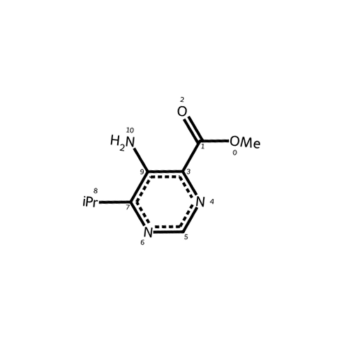 COC(=O)c1ncnc(C(C)C)c1N